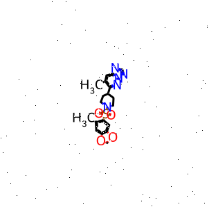 Cc1cc2c(cc1S(=O)(=O)N1CCC(c3nn4ncnc4cc3C)CC1)OCO2